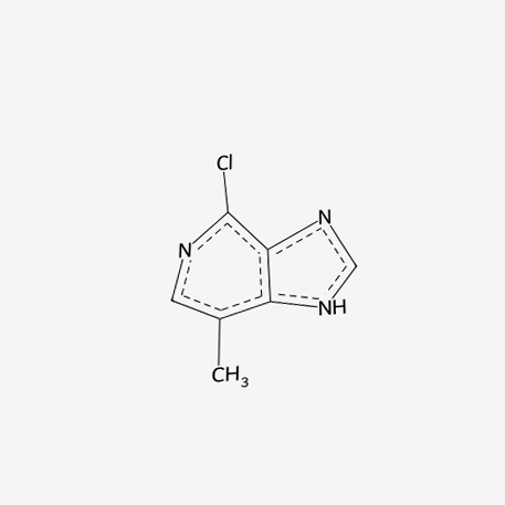 Cc1cnc(Cl)c2nc[nH]c12